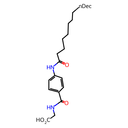 CCCCCCCCCCCCCCCCCC(=O)Nc1ccc(C(=O)NCC(=O)O)cc1